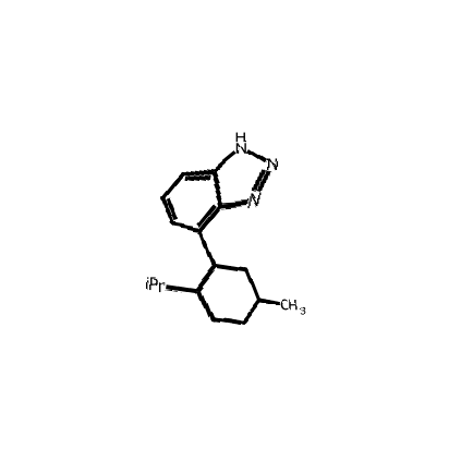 CC1CCC(C(C)C)C(c2cccc3[nH]nnc23)C1